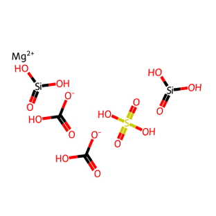 O=C([O-])O.O=C([O-])O.O=S(=O)(O)O.O=[Si](O)O.O=[Si](O)O.[Mg+2]